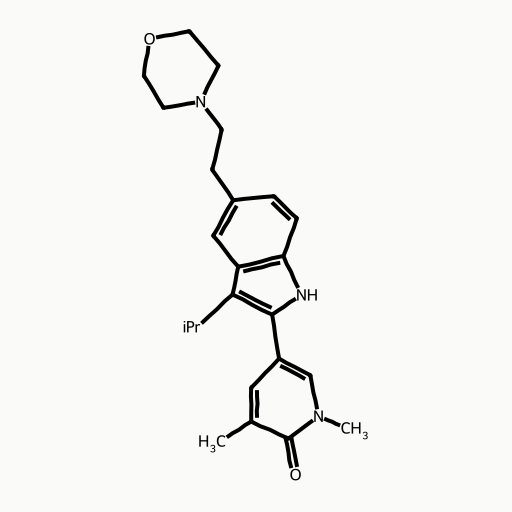 Cc1cc(-c2[nH]c3ccc(CCN4CCOCC4)cc3c2C(C)C)cn(C)c1=O